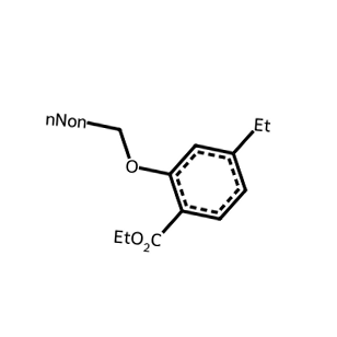 CCCCCCCCCCOc1cc(CC)ccc1C(=O)OCC